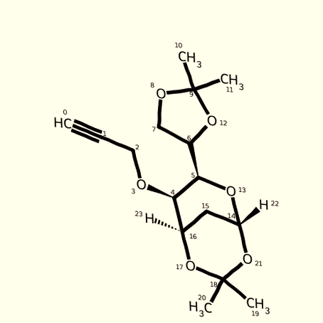 C#CCO[C@H]1[C@@H](C2COC(C)(C)O2)O[C@H]2C[C@H]1OC(C)(C)O2